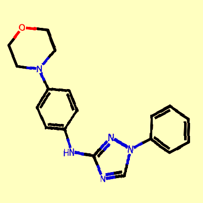 c1ccc(-n2cnc(Nc3ccc(N4CCOCC4)cc3)n2)cc1